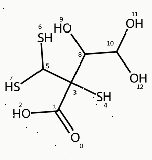 O=C(O)C(S)(C(S)S)C(O)C(O)O